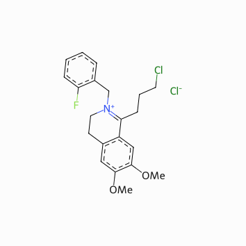 COc1cc2c(cc1OC)C(CCCCl)=[N+](Cc1ccccc1F)CC2.[Cl-]